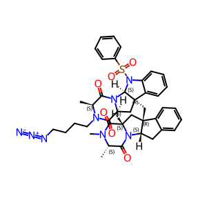 C[C@H]1C(=O)N2[C@H]3Cc4ccccc4[C@@]3(C[C@]34C[C@H]5C(=O)N(CCCCN=[N+]=[N-])[C@@H](C)C(=O)N5[C@H]3N(S(=O)(=O)c3ccccc3)c3ccccc34)C[C@H]2C(=O)N1C